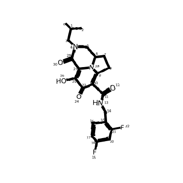 CC(C)CN1CC2CCc3c(C(=O)NCc4ccc(F)cc4F)c(=O)c(O)c(n32)C1=O